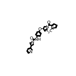 Cn1cccc1C(=O)N1CC[C@@H](Oc2ccc(NC(=O)N3CC(c4cccnc4)C3)cc2)C1